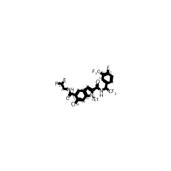 CCn1c(C(=O)NC(c2ccc(F)c(C(F)(F)F)c2)C(F)(F)F)cc2cc(C(=O)NCC(F)F)c(Cl)cc21